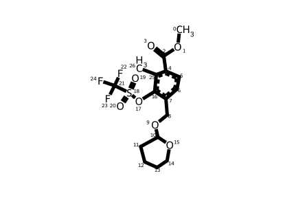 COC(=O)c1ccc(COC2CCCCO2)c(OS(=O)(=O)C(F)(F)F)c1C